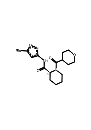 CC(C)(C)c1cc(NC(=O)[C@@H]2CCCCN2C(=O)C2CCOCC2)no1